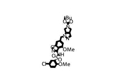 COc1ccc(Cl)cc1S(=O)(=O)Nc1noc2cc(Cn3ncc4c3CN(C(=O)OC(C)(C)C)C4)cc(OC)c12